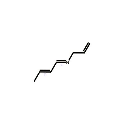 C=CC/N=C/C=C/C